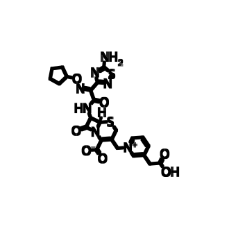 Nc1nc(C(=NOC2CCCC2)C(=O)NC2C(=O)N3C(C(=O)[O-])=C(C[n+]4cccc(CC(=O)O)c4)CS[C@@H]23)ns1